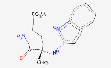 NC(=O)[C@](C=O)(CCC(=O)O)Nc1cc2ccccc2[nH]1